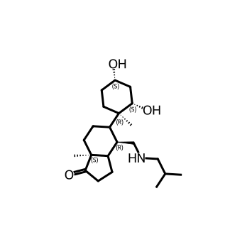 CC(C)CNC[C@H]1C2CCC(=O)[C@@]2(C)CCC1[C@@]1(C)CC[C@H](O)C[C@@H]1O